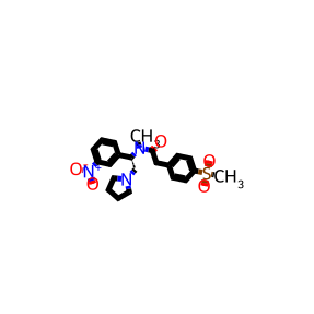 CN(C(=O)Cc1ccc(S(C)(=O)=O)cc1)[C@H](CN1CCCC1)c1cccc([N+](=O)[O-])c1